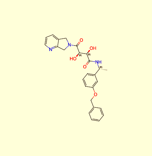 C[C@@H](NC(=O)[C@H](O)[C@@H](O)C(=O)N1Cc2cccnc2C1)c1cccc(OCc2ccccc2)c1